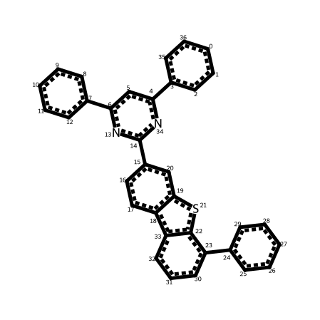 c1ccc(-c2cc(-c3ccccc3)nc(-c3ccc4c(c3)sc3c(-c5ccccc5)cccc34)n2)cc1